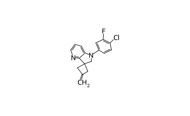 C=C1CC2(C1)CN(c1ccc(Cl)c(F)c1)c1cccnc12